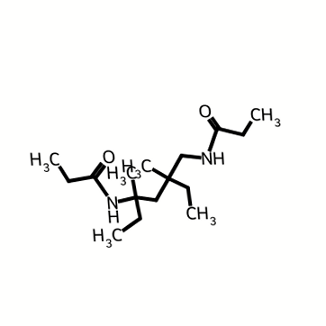 CCC(=O)NCC(C)(CC)CC(C)(CC)NC(=O)CC